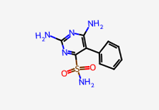 Nc1nc(N)c(-c2ccccc2)c(S(N)(=O)=O)n1